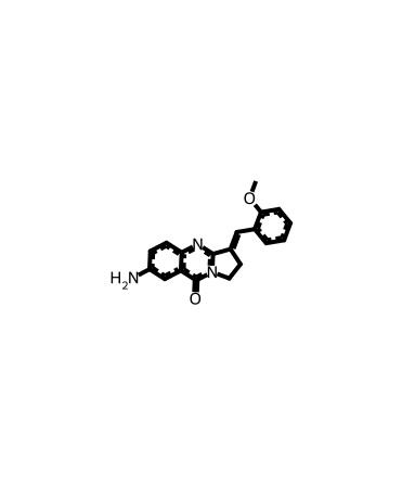 COc1ccccc1C=C1CCn2c1nc1ccc(N)cc1c2=O